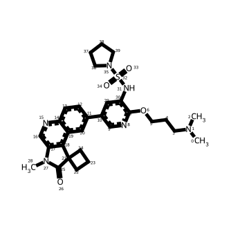 CN(C)CCCOc1ncc(-c2ccc3ncc4c(c3c2)C2(CCC2)C(=O)N4C)cc1NS(=O)(=O)N1CCCC1